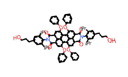 CC(C)c1cc(CCCO)cc(C(C)C)c1N1C(=O)c2cc(Oc3ccccc3)c3c4c(Oc5ccccc5)cc5c6c(cc(Oc7ccccc7)c(c7c(Oc8ccccc8)cc(c2c37)C1=O)c64)C(=O)N(c1c(C(C)C)cc(CCCO)cc1C(C)C)C5=O